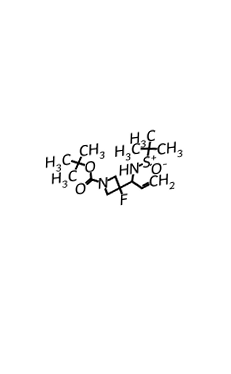 C=CC(N[S+]([O-])C(C)(C)C)C1(F)CN(C(=O)OC(C)(C)C)C1